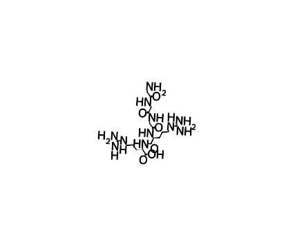 N=C(N)NCCC[C@H](NC(=O)[C@H](CCCNC(=N)N)NC(=O)CNC(=O)CNC(=O)CN)C(=O)O